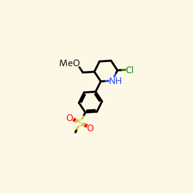 COCC1CCC(Cl)NC1c1ccc(S(C)(=O)=O)cc1